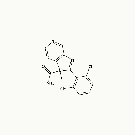 C[N+]1(C(N)=O)C(c2c(Cl)cccc2Cl)=Nc2[c]nccc21